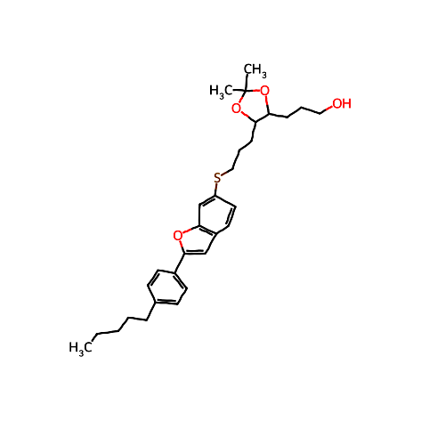 CCCCCc1ccc(-c2cc3ccc(SCCCC4OC(C)(C)OC4CCCO)cc3o2)cc1